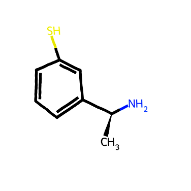 C[C@H](N)c1cccc(S)c1